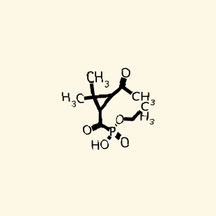 CCOP(=O)(O)C(=O)C1C(C(C)=O)C1(C)C